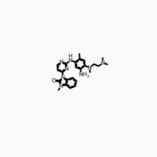 Cc1cc(N(C)CCN(C)C)c(N)cc1Nc1nccc(-n2c(=O)n(C)c3ccccc32)n1